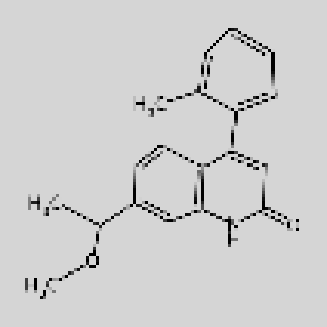 COC(C)c1ccc2c(-c3ccccc3C)cc(=O)[nH]c2c1